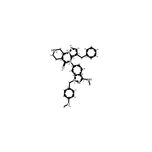 CNc1nn(Cc2ccc(OC)cc2)c2cc(-n3c(=O)c4c(n5ncc(Cc6ccccc6)c35)CNCC4)ccc12